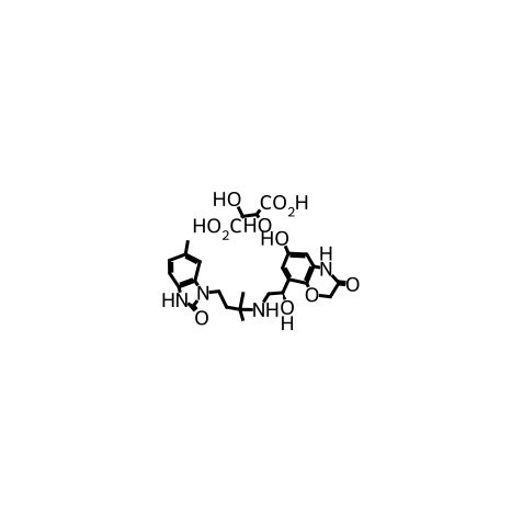 Cc1ccc2[nH]c(=O)n(CCC(C)(C)NC[C@H](O)c3cc(O)cc4c3OCC(=O)N4)c2c1.O=C(O)C(O)C(O)C(=O)O